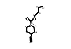 C#CC1CCN(C(=O)OCCCC)CC1